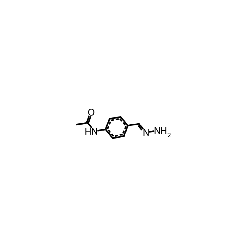 CC(=O)Nc1ccc(C=NN)cc1